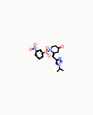 CC(C)n1cc(C=C2CC(=O)CCN2S(=O)(=O)c2cccc([N+](=O)[O-])c2)nn1